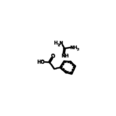 N=C(N)N.O=C(O)Cc1ccccc1